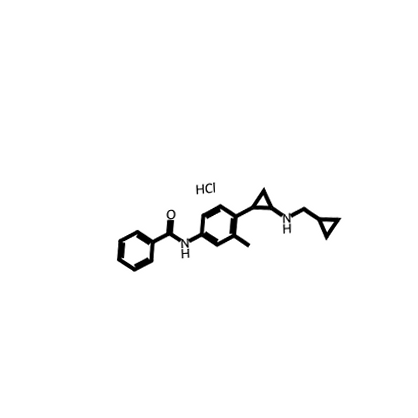 Cc1cc(NC(=O)c2ccccc2)ccc1C1CC1NCC1CC1.Cl